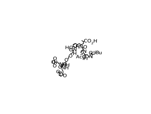 CC[C@H](C)CC(=O)N(C)C(C[C@@H](OC(C)=O)c1nc(C(=O)N[C@@H](Cc2ccc(O)c(NC(=O)CCOCCOCCNP(=O)(NCCN3C(=O)C=CC3=O)NCCN3C(=O)C=CC3=O)c2)CC(C)C(=O)O)cs1)C(C)C